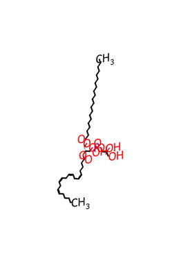 CCCCC/C=C\C/C=C\C/C=C\C/C=C\CCCC(=O)O[C@H](COC(=O)CCCCCCCCCCCCCCCCCCCC)COP(=O)(O)OC[C@@H](O)CO